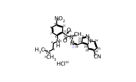 CN(C)CCNc1ccc([N+](=O)[O-])cc1S(=O)(=O)N(C)/N=C\c1cnn2ccc(C#N)cc12.Cl